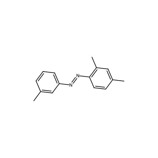 Cc1cccc(/N=N/c2ccc(C)cc2C)c1